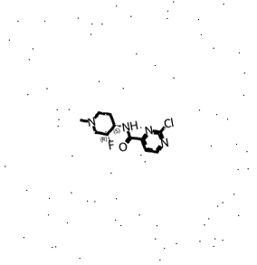 CN1CC[C@H](NC(=O)c2ccnc(Cl)n2)[C@H](F)C1